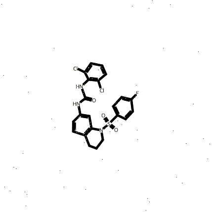 O=C(Nc1ccc2c(c1)N(S(=O)(=O)c1ccc(F)cc1)CCC2)Nc1c(Cl)cccc1Cl